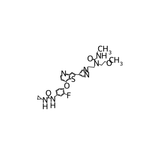 CCNC(=O)N(CCOC)CCn1cc(-c2cc3nccc(Oc4ccc(NC(=O)NC5CC5)cc4F)c3s2)cn1